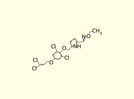 CCO/N=C/c1ccc(COc2c(Cl)cc(OCC=C(Cl)Cl)cc2Cl)[nH]1